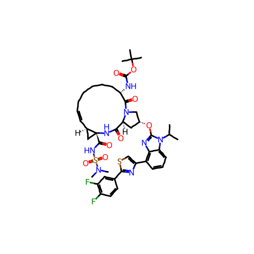 CC(C)n1c(O[C@@H]2C[C@H]3C(=O)N[C@]4(C(=O)NS(=O)(=O)N(C)C)C[C@H]4/C=C\CCCCC[C@H](NC(=O)OC(C)(C)C)C(=O)N3C2)nc2c(-c3csc(-c4ccc(F)c(F)c4)n3)cccc21